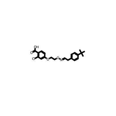 CC(C)(C)c1ccc(CC=NOCCOc2ccc(C(=O)O)c(Cl)c2)cc1